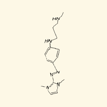 CNCCCNc1ccc(/N=N/c2n(C)cc[n+]2C)cc1